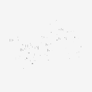 C#CCOc1cc(-n2nc3n(c2=O)CCCC3)c(Cl)cc1Cl.CSc1nnc(C(C)(C)C)c(=O)n1N.O=C(O)CNCP(=O)(O)O